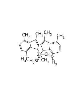 CC1=C[CH]([Zr]([CH3])([CH3])(=[SiH2])[CH]2C=C(C)c3c(C)ccc(C)c32)c2c(C)ccc(C)c21